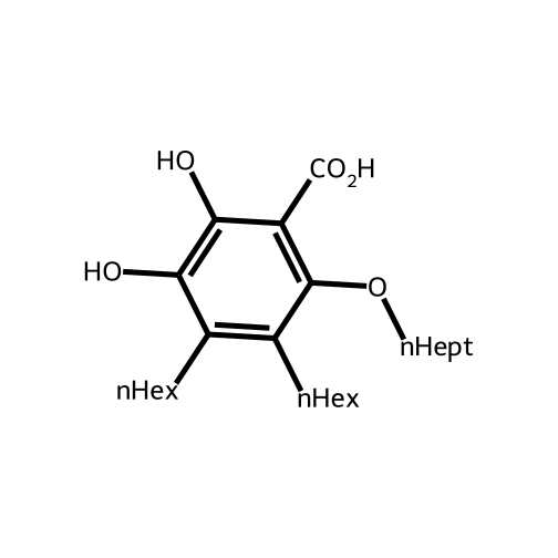 CCCCCCCOc1c(CCCCCC)c(CCCCCC)c(O)c(O)c1C(=O)O